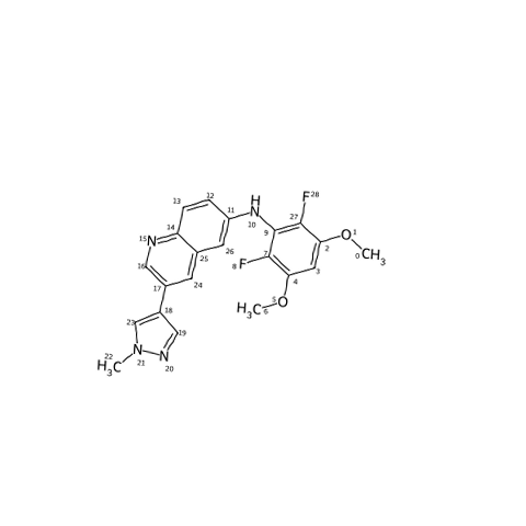 COc1cc(OC)c(F)c(Nc2ccc3ncc(-c4cnn(C)c4)cc3c2)c1F